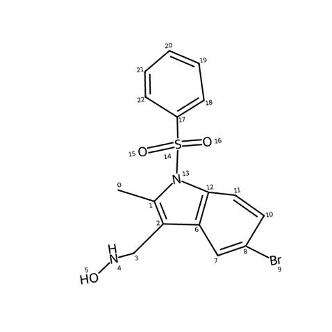 Cc1c(CNO)c2cc(Br)ccc2n1S(=O)(=O)c1ccccc1